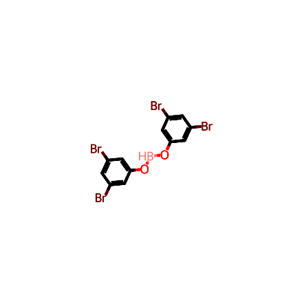 Brc1cc(Br)cc(OBOc2cc(Br)cc(Br)c2)c1